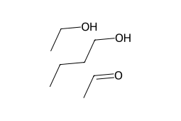 CC=O.CCCCO.CCO